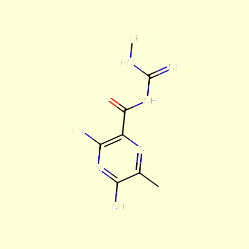 CCCCCNC(=N)NC(=O)c1nc(C)c(N)nc1N